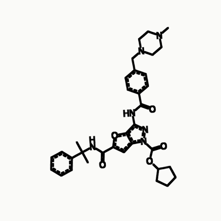 CN1CCN(Cc2ccc(C(=O)Nc3nn(C(=O)OC4CCCC4)c4cc(C(=O)NC(C)(C)c5ccccc5)oc34)cc2)CC1